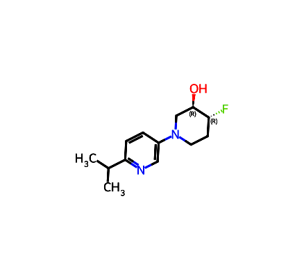 CC(C)c1ccc(N2CC[C@@H](F)[C@H](O)C2)cn1